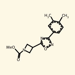 COC(=O)N1CC(c2nc(-c3ccc(C)c(C)c3)no2)C1